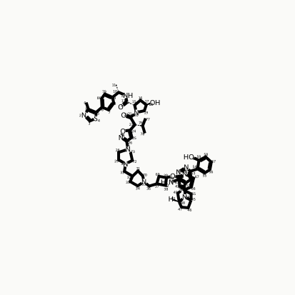 Cc1ncsc1-c1ccc([C@H](C)NC(=O)[C@@H]2C[C@@H](O)CN2C(=O)[C@@H](c2cc(N3CCN(CC4CCN(CC5CC(Oc6cc(N7C8CC[C@@H]7CN(c7cc(-c9ccccc9O)nnc7N)C8)ccn6)C5)CC4)CC3)no2)C(C)C)cc1